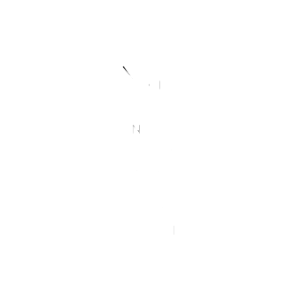 C[C@@H](O)CN1CCc2cc(F)ccc2C1